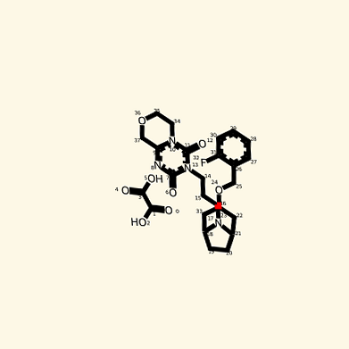 O=C(O)C(=O)O.O=c1nc2n(c(=O)n1CCCN1C3CCC1CC(OCc1ccccc1F)C3)CCOC2